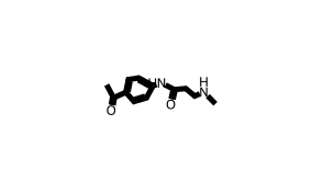 CNCCC(=O)Nc1ccc(C(C)=O)cc1